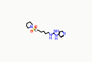 N=C(NCCCCCCS(=O)(=O)N1CCCCC1)Nc1ccncc1